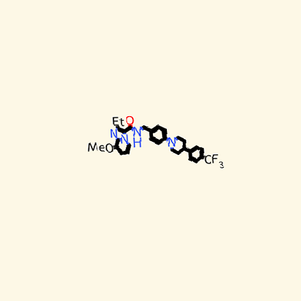 CCc1nc2c(OC)cccn2c1C(=O)NCc1ccc(N2CCC(c3ccc(C(F)(F)F)cc3)CC2)cc1